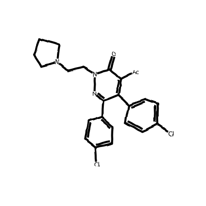 CC(=O)c1c(-c2ccc(Cl)cc2)c(-c2ccc(Cl)cc2)nn(CCN2CCCC2)c1=O